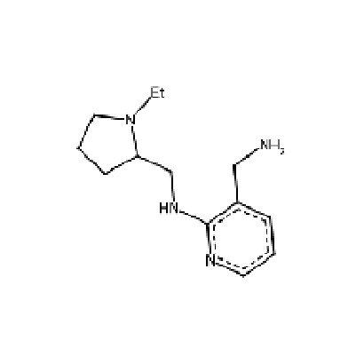 CCN1CCCC1CNc1ncccc1CN